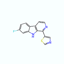 Fc1ccc2c(c1)[nH]c1c(-c3cncs3)nccc12